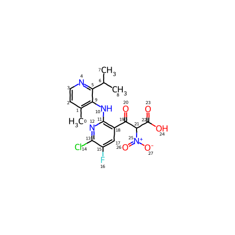 Cc1ccnc(C(C)C)c1Nc1nc(Cl)c(F)cc1C(=O)C(C(=O)O)[N+](=O)[O-]